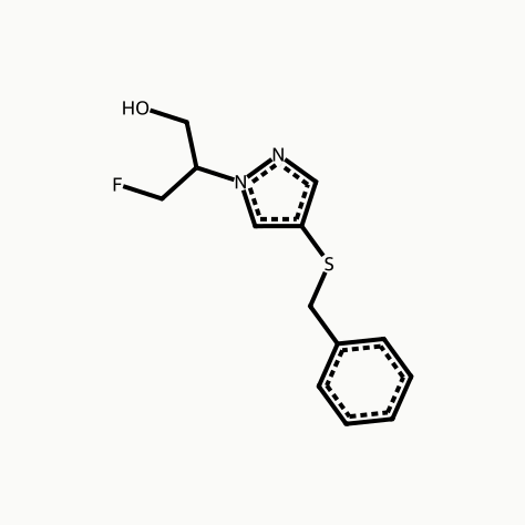 OCC(CF)n1cc(SCc2ccccc2)cn1